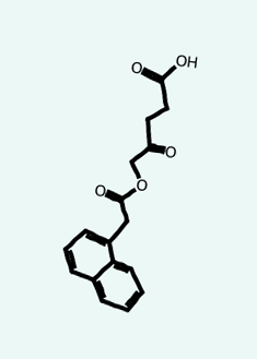 O=C(O)CCC(=O)COC(=O)Cc1cccc2ccccc12